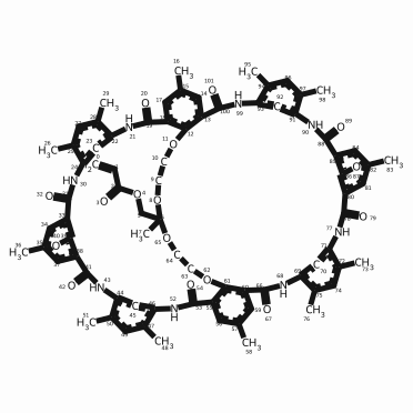 C=CC(=O)OCC1(C)OCCOc2c3cc(C)cc2C(=O)Nc2cc(c(C)cc2C)NC(=O)c2cc(C)cc(c2O)C(=O)Nc2cc(c(C)cc2C)NC(=O)c2cc(C)cc(c2OCCO1)C(=O)Nc1cc(c(C)cc1C)NC(=O)c1cc(C)cc(c1O)C(=O)Nc1cc(c(C)cc1C)NC3=O